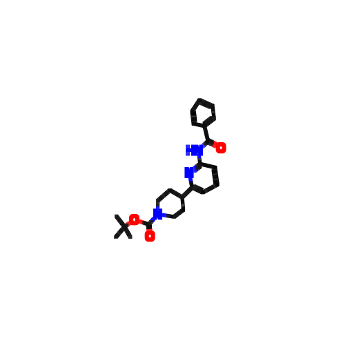 CC(C)(C)OC(=O)N1CCC(c2cccc(NC(=O)c3ccccc3)n2)CC1